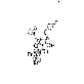 CCOP(=O)(CNC(=O)c1c(O)c2ncc(Cc3ccc(F)cc3)cc2n(CCN2CCCC2=O)c1=O)OCC